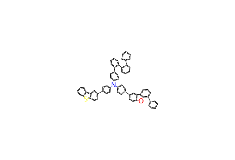 c1ccc(-c2ccccc2-c2ccccc2-c2ccc(N(c3ccc(-c4ccc5oc6c(-c7ccccc7)cccc6c5c4)cc3)c3ccc(-c4ccc5sc6ccccc6c5c4)cc3)cc2)cc1